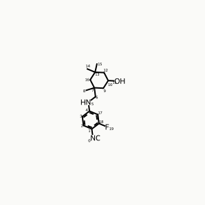 [C-]#[N+]c1ccc(NCC2(C)CC(O)CC(C)(C)C2)cc1F